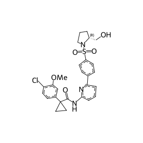 COc1cc(C2(C(=O)Nc3cccc(-c4ccc(S(=O)(=O)N5CCC[C@@H]5CO)cc4)n3)CC2)ccc1Cl